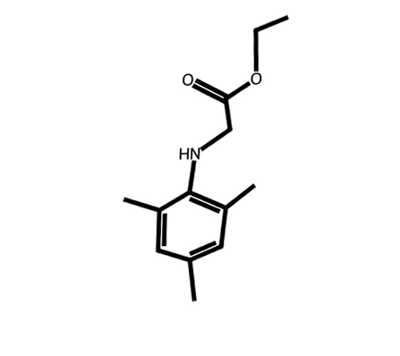 CCOC(=O)CNc1c(C)cc(C)cc1C